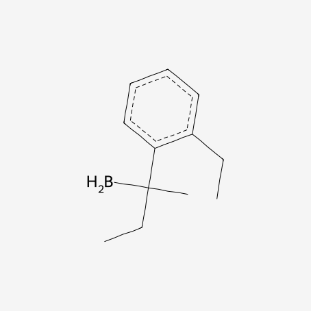 BC(C)(CC)c1ccccc1CC